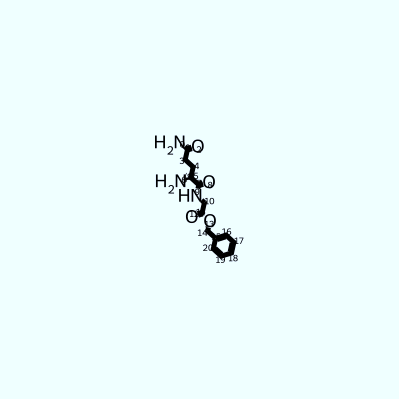 NC(=O)CC[C@H](N)C(=O)NCC(=O)OCc1ccccc1